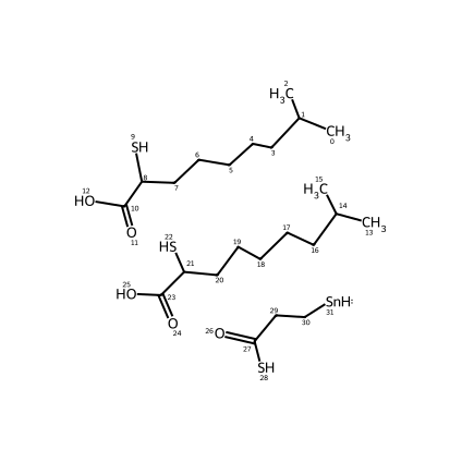 CC(C)CCCCCC(S)C(=O)O.CC(C)CCCCCC(S)C(=O)O.O=C(S)C[CH2][SnH]